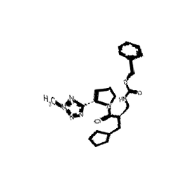 Cn1nnc([C@@H]2CCCN2C(=O)[C@@H](CNC(=O)OCc2ccccc2)CC2CCCC2)n1